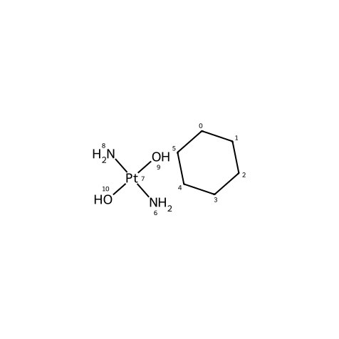 C1CCCCC1.[NH2][Pt]([NH2])([OH])[OH]